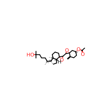 C=C1CC[C@H](OC(C)=O)CC12OC2C1OC12CCC[C@]1(C)[C@@H]([C@H](C)CCCC(C)(C)O)CC[C@@H]21